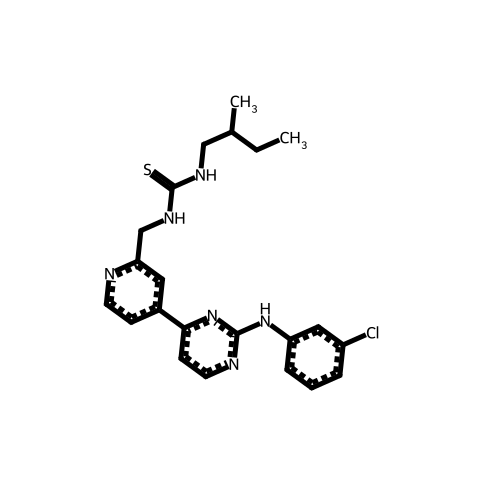 CCC(C)CNC(=S)NCc1cc(-c2ccnc(Nc3cccc(Cl)c3)n2)ccn1